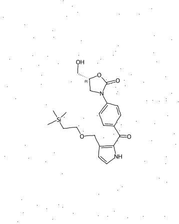 C[Si](C)(C)CCOCc1cc[nH]c1C(=O)c1ccc(N2C[C@H](CO)OC2=O)cc1